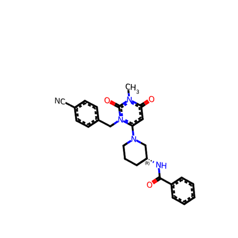 Cn1c(=O)cc(N2CCC[C@@H](NC(=O)c3ccccc3)C2)n(Cc2ccc(C#N)cc2)c1=O